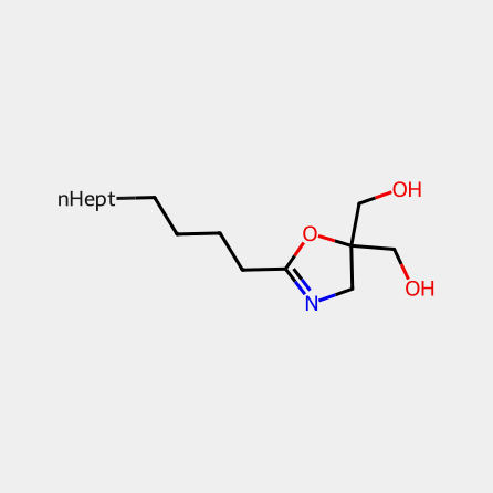 CCCCCCCCCCCC1=NCC(CO)(CO)O1